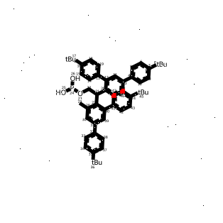 Cc1cc(-c2ccc(C(C)(C)C)cc2)cc(-c2ccc(C(C)(C)C)cc2)c1C(COP(O)O)c1c(C)cc(-c2ccc(C(C)(C)C)cc2)cc1-c1ccc(C(C)(C)C)cc1